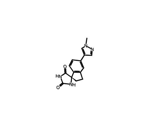 Cn1cc(-c2ccc3c(c2)CC[C@]32NC(=O)NC2=O)cn1